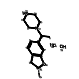 CC(c1ccc2c(c1)O[C@H](C)C2)N1CCNCC1.Cl.Cl